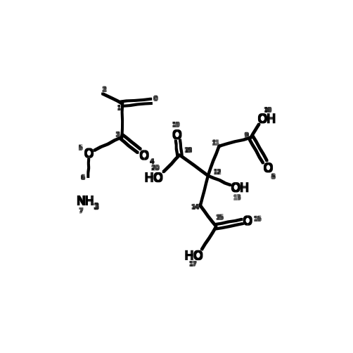 C=C(C)C(=O)OC.N.O=C(O)CC(O)(CC(=O)O)C(=O)O